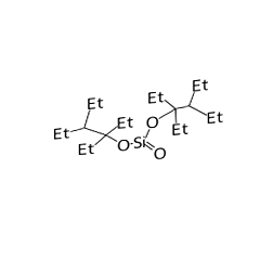 CCC(CC)C(CC)(CC)O[Si](=O)OC(CC)(CC)C(CC)CC